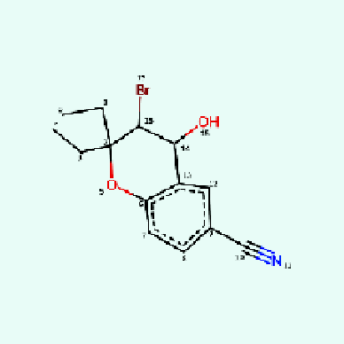 CCC1(CC)Oc2ccc(C#N)cc2C(O)C1Br